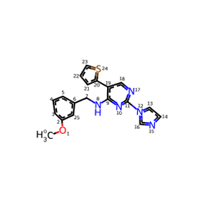 COc1cccc(CNc2nc(-n3ccnc3)ncc2-c2cccs2)c1